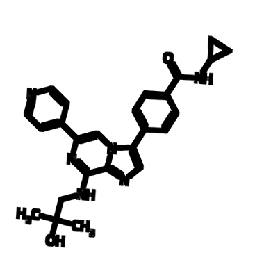 CC(C)(O)CNc1nc(-c2ccncc2)cn2c(-c3ccc(C(=O)NC4CC4)cc3)cnc12